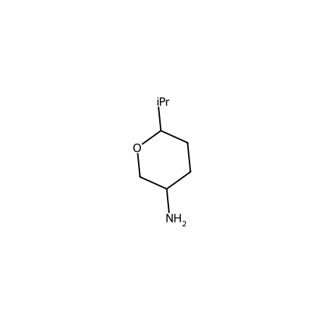 CC(C)C1CCC(N)CO1